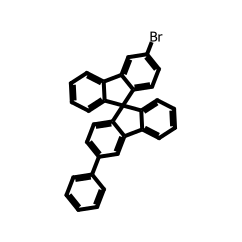 Brc1ccc2c(c1)-c1ccccc1C21c2ccccc2-c2cc(-c3ccccc3)ccc21